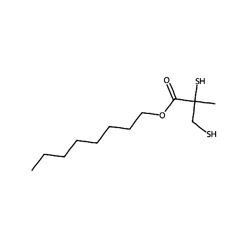 CCCCCCCCOC(=O)C(C)(S)CS